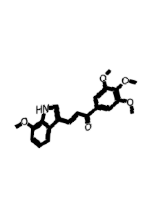 COc1cc(C(=O)C=Cc2c[nH]c3c(OC)cccc23)cc(OC)c1OC